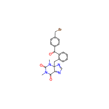 CN1C(=O)C2=NC=NC2(Cc2ccccc2C(=O)c2ccc(CBr)cc2)N(C)C1=O